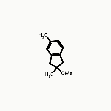 COC1(C)Cc2ccc(C)cc2C1